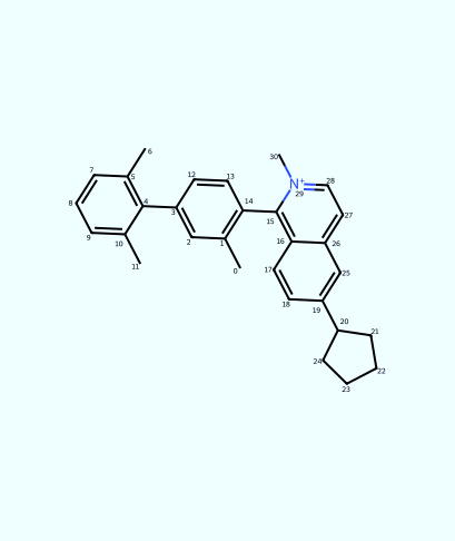 Cc1cc(-c2c(C)cccc2C)ccc1-c1c2ccc(C3CCCC3)cc2cc[n+]1C